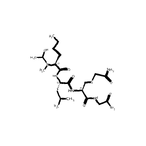 CCCC[C@@H](C(=O)N[C@@H](CC(C)C)C(=O)N[C@@H](CSCC(N)=O)C(=O)NCC(N)=O)N(C)C(C)O